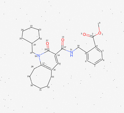 COC(=O)c1ccccc1CNC(=O)c1cc2c(n(CC3CCCCC3)c1=O)CCCCCC2